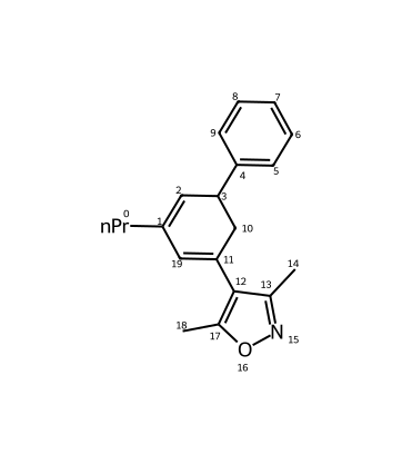 CCCC1=CC(c2ccccc2)CC(c2c(C)noc2C)=C1